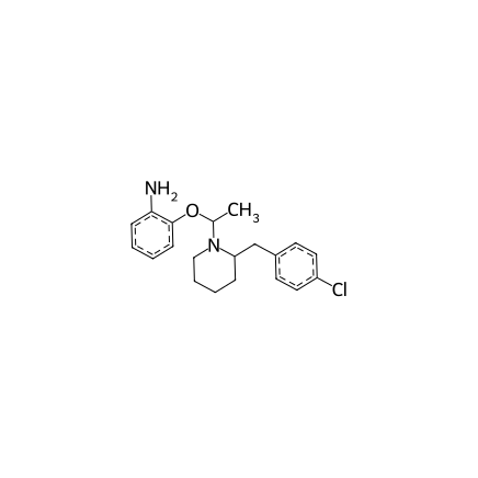 CC(Oc1ccccc1N)N1CCCCC1Cc1ccc(Cl)cc1